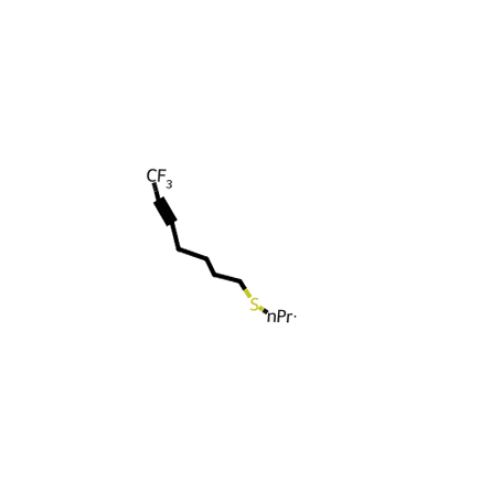 CC[CH]SCCCCC#CC(F)(F)F